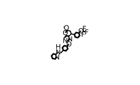 COC(=O)CC(c1cccc(OC(F)(F)F)c1)c1ccnc(Oc2ccc(CNc3ccccn3)cc2)n1